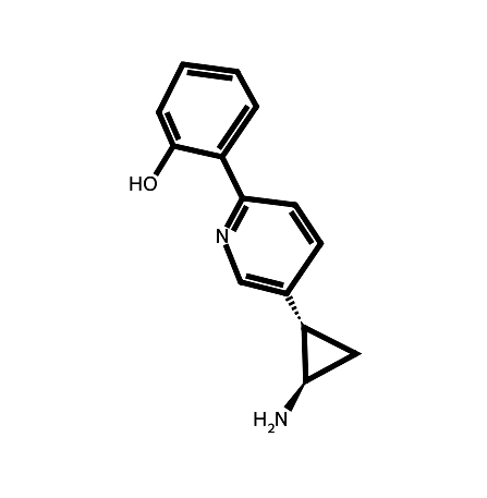 N[C@@H]1C[C@H]1c1ccc(-c2ccccc2O)nc1